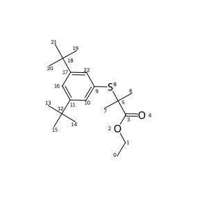 CCOC(=O)C(C)(C)Sc1cc(C(C)(C)C)cc(C(C)(C)C)c1